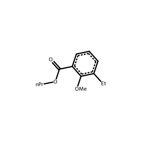 CCCOC(=O)c1cccc(CC)c1OC